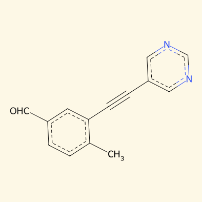 Cc1ccc(C=O)cc1C#Cc1cncnc1